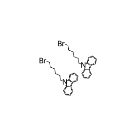 BrCCCCCCn1c2ccccc2c2ccccc21.BrCCCCCCn1c2ccccc2c2ccccc21